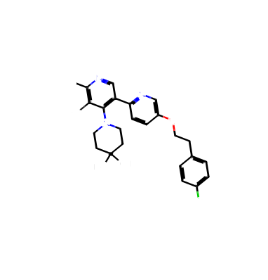 CCc1c(C)ncc(-c2ccc(OCCc3ccc(Cl)cc3)cn2)c1N1CCC(C)(C)CC1